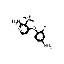 C[Si](C)(C)c1c(Oc2ccc(N)cc2F)ccnc1N